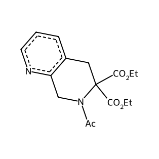 CCOC(=O)C1(C(=O)OCC)Cc2cccnc2CN1C(C)=O